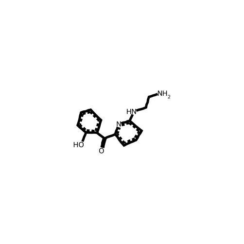 NCCNc1cccc(C(=O)c2ccccc2O)n1